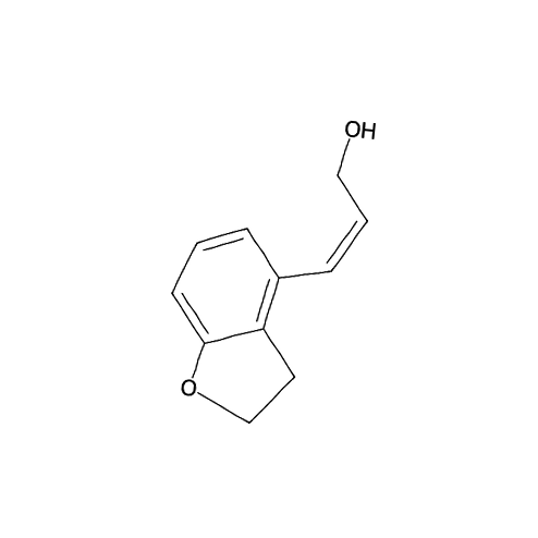 OC/C=C\c1cccc2c1CCO2